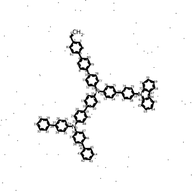 C=Cc1ccc(-c2ccc(-c3ccc(N(c4ccc(-c5ccc(N(c6ccc(-c7ccccc7)cc6)c6ccc(-c7ccccc7)cc6)cc5)cc4)c4ccc(-c5ccc(-n6c7ccccc7c7ccccc76)cc5)cc4)cc3)cc2)cc1